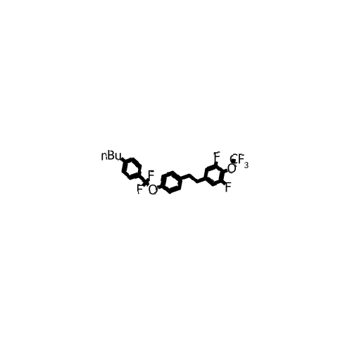 CCCCc1ccc(C(F)(F)Oc2ccc(CCc3cc(F)c(OC(F)(F)F)c(F)c3)cc2)cc1